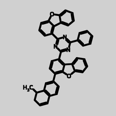 CC1CC=Cc2ccc(-c3ccc(-c4nc(-c5ccccc5)nc(-c5cccc6oc7ccccc7c56)n4)c4c3oc3ccccc34)cc21